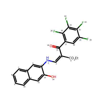 CCOC(=O)C(=CNc1cc2ccccc2cc1O)C(=O)c1cc(F)c(F)c(F)c1F